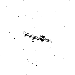 Cn1cnc(COC(=O)OCOC=O)c1